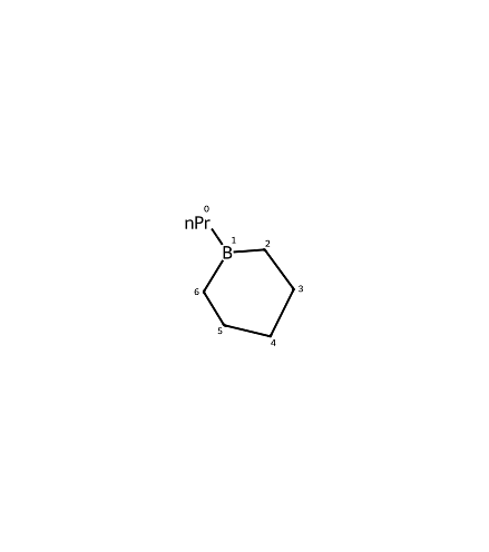 CCCB1CCCCC1